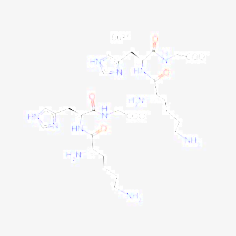 NCCCC[C@H](N)C(=O)N[C@@H](Cc1c[nH]cn1)C(=O)NCC(=O)[O-].NCCCC[C@H](N)C(=O)N[C@@H](Cc1c[nH]cn1)C(=O)NCC(=O)[O-].[Cu+2]